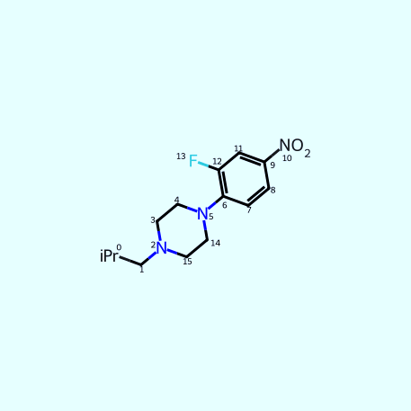 CC(C)CN1CCN(c2ccc([N+](=O)[O-])cc2F)CC1